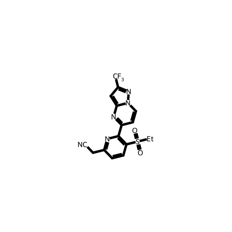 CCS(=O)(=O)c1ccc(CC#N)nc1-c1ccn2nc(C(F)(F)F)cc2n1